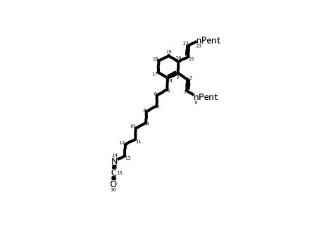 CCCCCC=CC1=C(CCCCCCCCCN=C=O)CCCC1C=CCCCCC